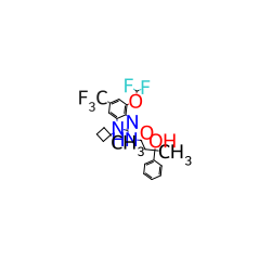 CC(O)(CC(=O)Nc1nc2c(OC(F)F)cc(C(F)(F)F)cc2n1C1(C)CCC1)c1ccccc1